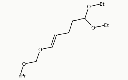 CCCOCOC=CCCC(OCC)OCC